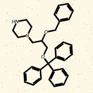 c1ccc(COC(COC(c2ccccc2)(c2ccccc2)c2ccccc2)CN2CCNCC2)cc1